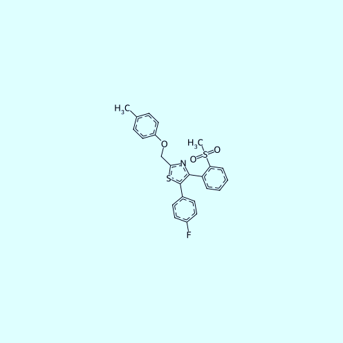 Cc1ccc(OCc2nc(-c3ccccc3S(C)(=O)=O)c(-c3ccc(F)cc3)s2)cc1